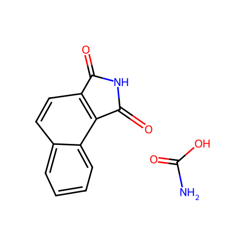 NC(=O)O.O=C1NC(=O)c2c1ccc1ccccc21